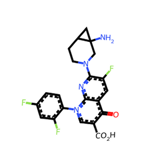 NC12CC1CCN(c1nc3c(cc1F)c(=O)c(C(=O)O)cn3-c1ccc(F)cc1F)C2